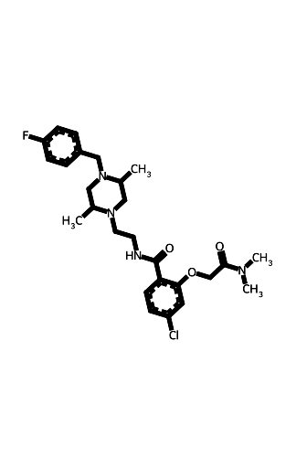 CC1CN(Cc2ccc(F)cc2)C(C)CN1CCNC(=O)c1ccc(Cl)cc1OCC(=O)N(C)C